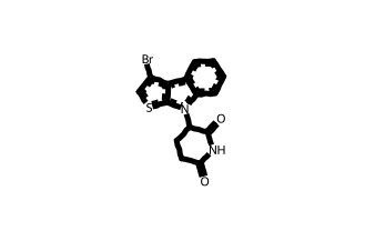 O=C1CCC(n2c3ccccc3c3c(Br)csc32)C(=O)N1